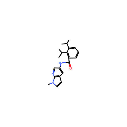 CC(C)c1cccc(C(=O)Nc2cnc3c(ccn3C)c2)c1C(C)C